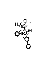 C=CC(C)C(F)(F)C(O)C(Cc1ccccc1)NC(=O)c1ccc(-c2ccccc2)cc1